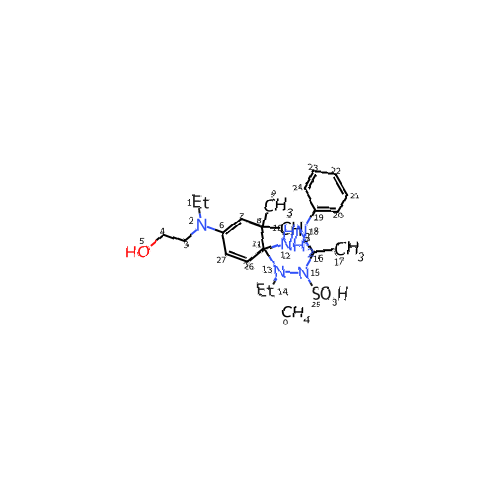 C.CCN(CCO)C1=CC(C)(C)C(N)(N(CC)N(C(C)Nc2ccccc2)S(=O)(=O)O)C=C1